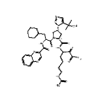 CC(C)(O)c1cnnn1[C@H]1C[C@@H](C(=O)NC(CCCCNC(=O)O)C(=O)C(N)=O)N(C(=O)C(CC2CCCCC2)NC(=O)c2cnc3ccccc3n2)C1